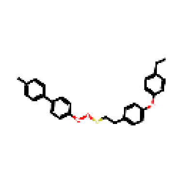 CCc1ccc(Oc2ccc(CCSOOc3ccc(-c4ccc(C)cc4)cc3)cc2)cc1